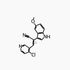 COc1ccc2[nH]cc(/C(C#N)=C/c3cnccc3Cl)c2c1